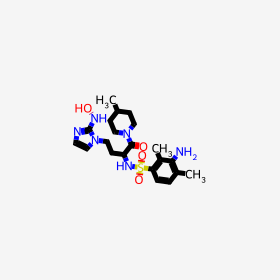 Cc1ccc(S(=O)(=O)NC(CCn2ccnc2NO)C(=O)N2CCC(C)CC2)c(C)c1N